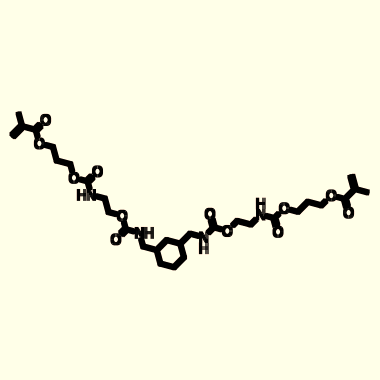 C=C(C)C(=O)OCCCOC(=O)NCCOC(=O)NCC1CCCC(CNC(=O)OCCNC(=O)OCCCOC(=O)C(=C)C)C1